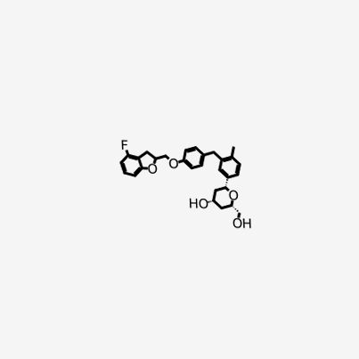 Cc1ccc([C@H]2C[C@@H](O)C[C@@H](CO)O2)cc1Cc1ccc(OCC2Cc3c(F)cccc3O2)cc1